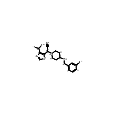 N#CC(c1scnc1C(F)F)N1CCC(OCc2cccc(F)c2)CC1